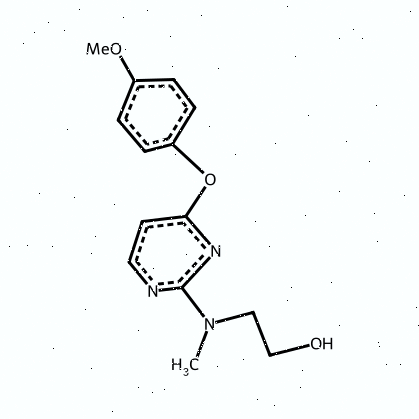 COc1ccc(Oc2ccnc(N(C)CCO)n2)cc1